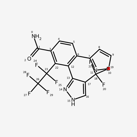 NC(=O)c1ccc(-c2ccsn2)c(-c2n[nH]cc2C(F)(F)F)c1C(F)(F)C(F)(F)F